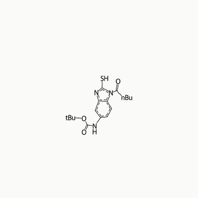 CCCCC(=O)n1c(S)nc2cc(NC(=O)OC(C)(C)C)ccc21